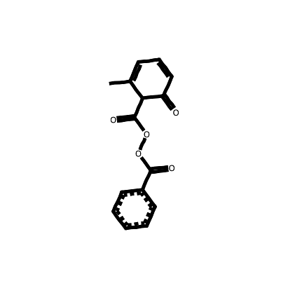 CC1=CC=CC(=O)C1C(=O)OOC(=O)c1ccccc1